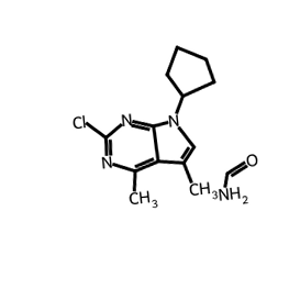 Cc1cn(C2CCCC2)c2nc(Cl)nc(C)c12.NC=O